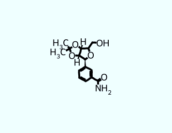 CC1(C)O[C@@H]2[C@H](O1)C(CO)O[C@H]2c1cccc(C(N)=O)c1